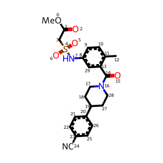 COC(=O)CS(=O)(=O)Nc1ccc(C)c(C(=O)N2CCC(c3ccc(C#N)cc3)CC2)c1